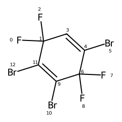 FC1(F)C=C(Br)C(F)(F)C(Br)=C1Br